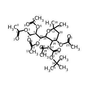 CC(=O)OC[C@@H](OC(C)=O)[C@@H](OC(C)=O)C1OC(C)(C)C[C@@H](OC(C)=O)C1N(C(C)=O)C(=O)OC(C)(C)C